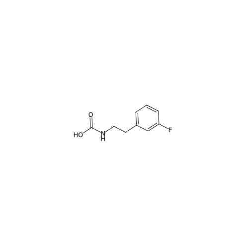 O=C(O)NCCc1cccc(F)c1